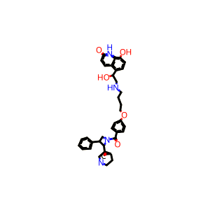 O=C(c1ccc(OCCCCNCC(O)c2ccc(O)c3[nH]c(=O)ccc23)cc1)N1CC(c2ccccc2)C1C1CN2CCC1CC2